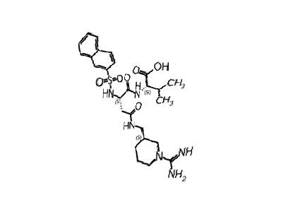 CC(C)[C@H](NC(=O)[C@H](CC(=O)NC[C@@H]1CCCN(C(=N)N)C1)NS(=O)(=O)c1ccc2ccccc2c1)C(=O)O